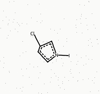 Clc1ccn(I)c1